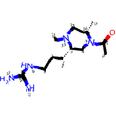 CC(=O)N1C[C@H](CCCNC(=N)N)N(C)C[C@@H]1C